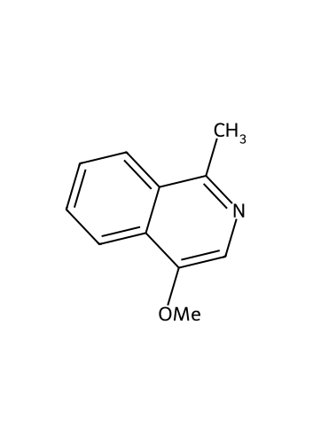 COc1cnc(C)c2ccccc12